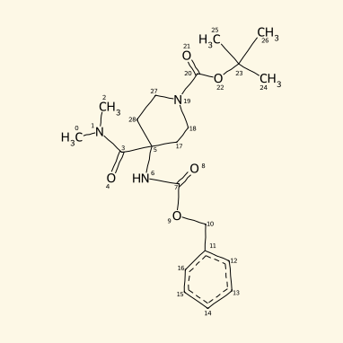 CN(C)C(=O)C1(NC(=O)OCc2ccccc2)CCN(C(=O)OC(C)(C)C)CC1